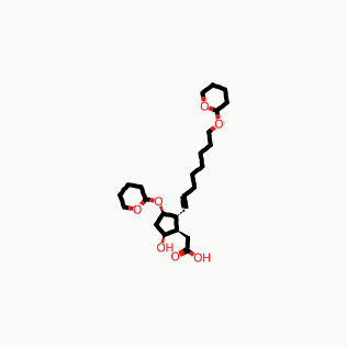 O=C(O)C[C@@H]1[C@@H](C=CCCCCCCOC2CCCCO2)[C@H](OC2CCCCO2)C[C@@H]1O